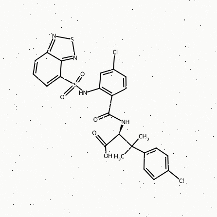 CC(C)(c1ccc(Cl)cc1)[C@H](NC(=O)c1ccc(Cl)cc1NS(=O)(=O)c1cccc2nsnc12)C(=O)O